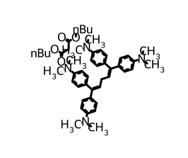 CCCCOC(=O)CC(=O)OCCCC.CN(C)c1ccc(C(=CCC=C(c2ccc(N(C)C)cc2)c2ccc(N(C)C)cc2)c2ccc(N(C)C)cc2)cc1